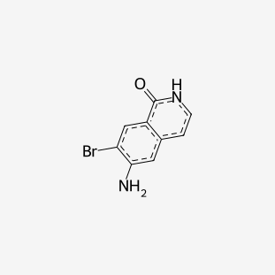 Nc1cc2cc[nH]c(=O)c2cc1Br